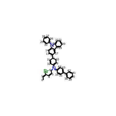 C/C=C(Br)\C=C/CN(C1=CCC(c2ccc3c(c2)c2ccccc2n3-c2ccccc2)C=C1)c1ccc(-c2ccccc2)cc1